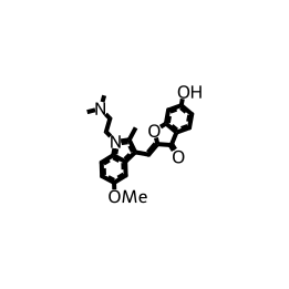 COc1ccc2c(c1)c(/C=C1\Oc3cc(O)ccc3C1=O)c(C)n2CCN(C)C